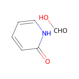 O=CO.O=c1cccc[nH]1